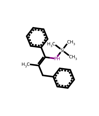 CC(Cc1ccccc1)=C(P[Si](C)(C)C)c1ccccc1